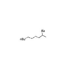 CCCCCCCC[CH](C)[Na]